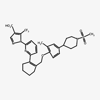 Cc1cc(C2CCN(S(C)(=O)=O)CC2)ccc1OCC1=C(c2cccc(-n3ncc(C(=O)O)c3C(F)(F)F)n2)CCCC1